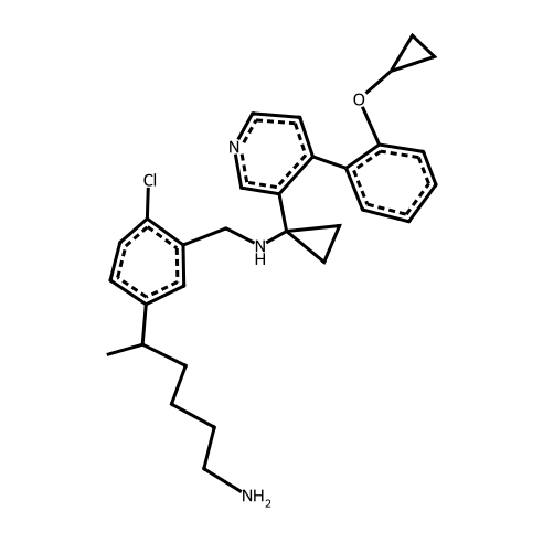 CC(CCCCN)c1ccc(Cl)c(CNC2(c3cnccc3-c3ccccc3OC3CC3)CC2)c1